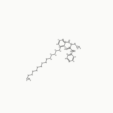 CCCCCCCCCCCCCCCc1cccc(OC(CC)C(=O)Nc2cc[c]cc2)c1